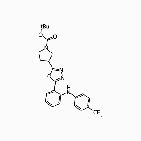 CC(C)(C)OC(=O)N1CCC(c2nnc(-c3ccccc3Nc3ccc(C(F)(F)F)cc3)o2)C1